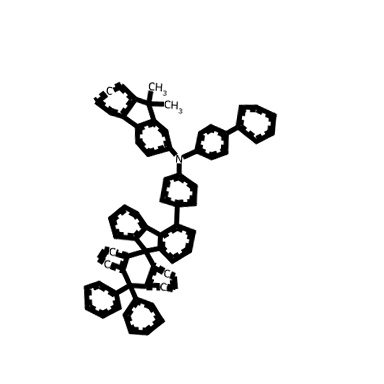 CC1(C)c2ccccc2-c2ccc(N(c3ccc(-c4ccccc4)cc3)c3ccc(-c4cccc5c4-c4ccccc4C54c5ccccc5C(c5ccccc5)(c5ccccc5)c5ccccc54)cc3)cc21